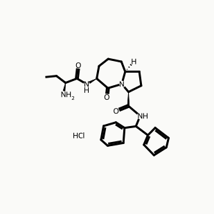 CC[C@H](N)C(=O)N[C@H]1CCC[C@H]2CC[C@@H](C(=O)NC(c3ccccc3)c3ccccc3)N2C1=O.Cl